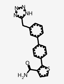 NC(=O)c1ccsc1-c1ccc(-c2cccc(Cc3nnn[nH]3)c2)cc1